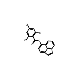 O=C(Oc1ccc2c3c(cccc13)C=C2)c1c(Cl)cc(Cl)cc1Cl